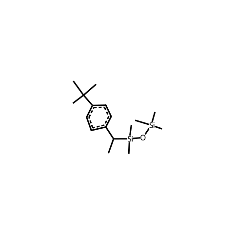 CC(c1ccc(C(C)(C)C)cc1)[Si](C)(C)O[Si](C)(C)C